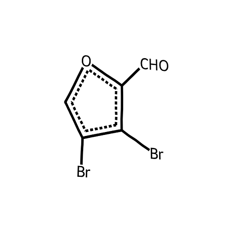 O=Cc1occ(Br)c1Br